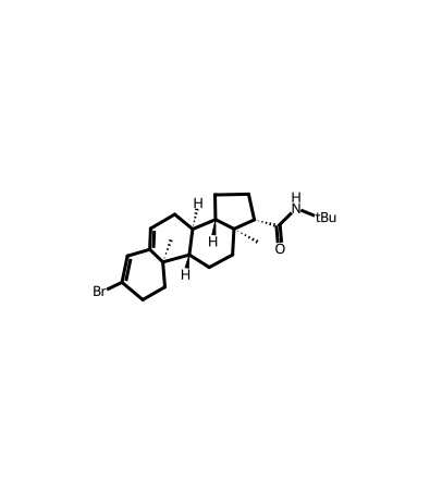 CC(C)(C)NC(=O)[C@H]1CC[C@H]2[C@@H]3CC=C4C=C(Br)CC[C@]4(C)[C@H]3CC[C@]12C